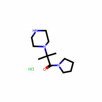 CC(C)(C(=O)N1CCCC1)N1CCNCC1.Cl